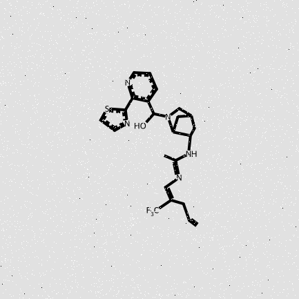 C=CC/C(=C\N=C(/C)NC1CC2CC1N(C(O)c1cccnc1-c1nccs1)C2)C(F)(F)F